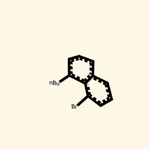 CCCCc1cccc2cccc(Br)c12